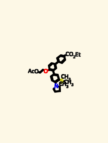 CCOC(=O)c1ccc(-c2ccc(OCCOC(C)=O)c(-c3ccc(N4CCCC4)c(S(C)(C)C)c3)c2)cc1